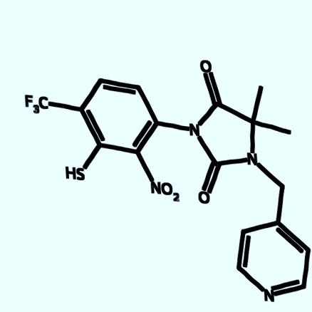 CC1(C)C(=O)N(c2ccc(C(F)(F)F)c(S)c2[N+](=O)[O-])C(=O)N1Cc1ccncc1